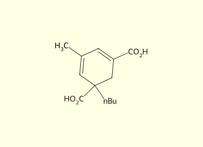 CCCCC1(C(=O)O)C=C(C)C=C(C(=O)O)C1